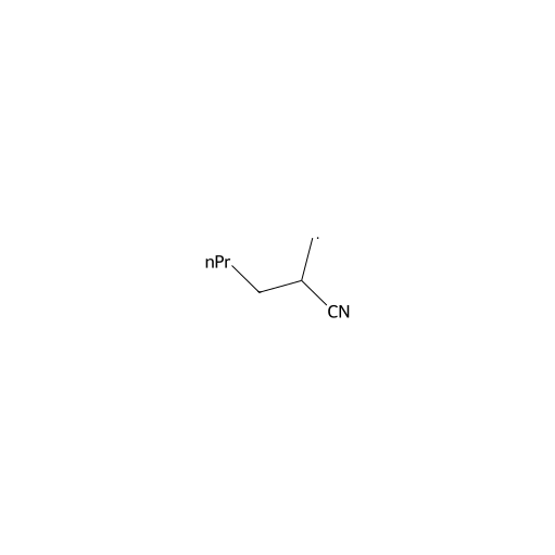 [CH2]C(C#N)CCCC